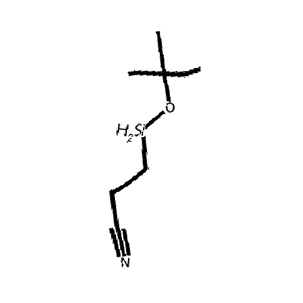 CC(C)(C)O[SiH2]CCC#N